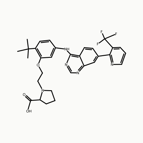 CC(C)(C)c1ccc(Nc2ncnc3cc(-c4ncccc4C(F)(F)F)ccc23)cc1OCCN1CCCC1C(=O)O